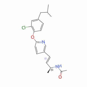 CC(=O)N[C@@H](C)/C=C/c1ccc(Oc2ccc(CC(C)C)cc2Cl)nc1